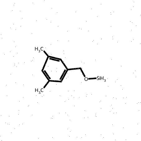 Cc1cc(C)cc([CH]O[SiH3])c1